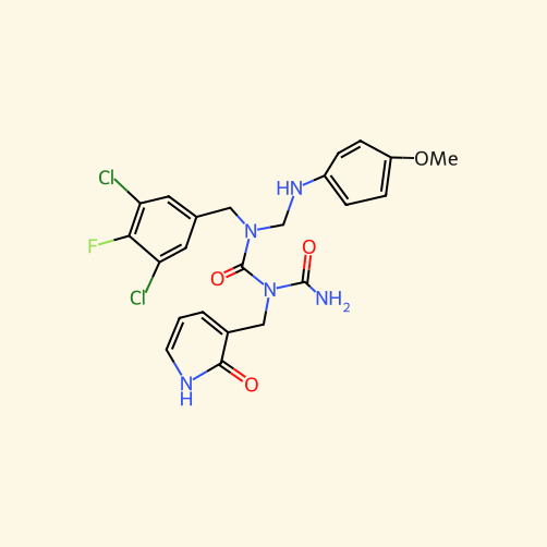 COc1ccc(NCN(Cc2cc(Cl)c(F)c(Cl)c2)C(=O)N(Cc2ccc[nH]c2=O)C(N)=O)cc1